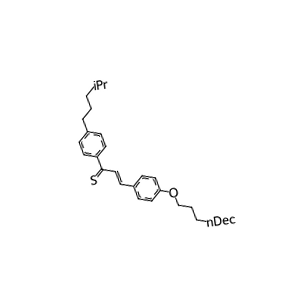 CCCCCCCCCCCCCOc1ccc(C=CC(=S)c2ccc(CCCC(C)C)cc2)cc1